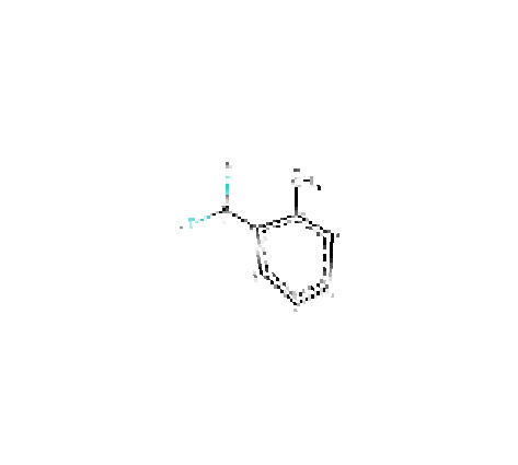 Cc1ccccc1B(F)F